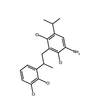 CC(C)c1cc(N)c(Cl)c(CC(C)c2cccc(Cl)c2Cl)c1Cl